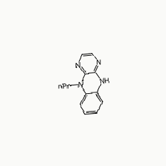 CCCN1c2ccccc2Nc2nccnc21